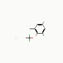 CCOC(=O)C(F)(F)Oc1c(C)cc(Br)cc1F